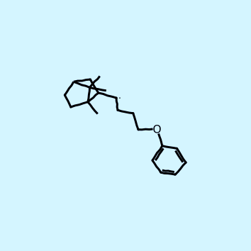 CC1(C)C2CCC1(C)C([CH]CCCOc1ccccc1)C2